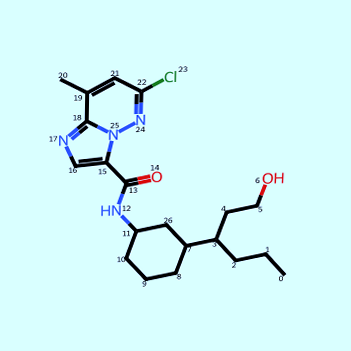 CCCC(CCO)C1CCCC(NC(=O)c2cnc3c(C)cc(Cl)nn23)C1